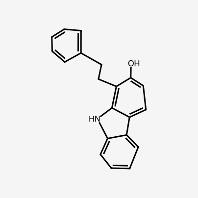 Oc1ccc2c([nH]c3ccccc32)c1CCc1ccccc1